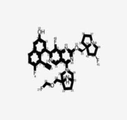 C#Cc1c(F)ccc2cc(O)cc(-c3ncc4c(N5CC6CCC(COCF)(C5)N6)nc(OC[C@@]56CCCN5C[C@H](F)C6)nc4c3F)c12